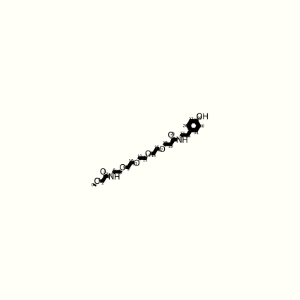 COCC(=O)NCCOCCOCCOCCOCCC(=O)NCCc1ccc(O)cc1